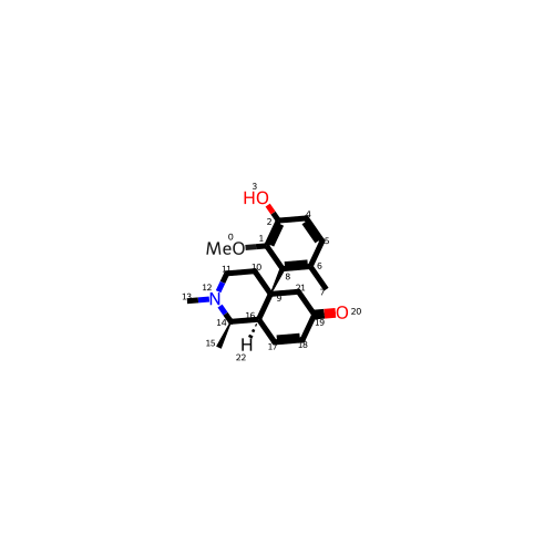 COc1c(O)ccc(C)c1[C@]12CCN(C)[C@H](C)[C@@H]1C=CC(=O)C2